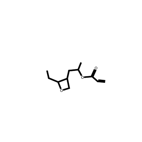 C=CC(=O)OC(C)CC1COC1CC